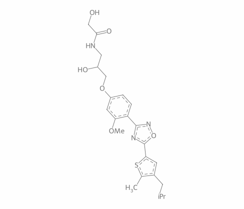 COc1cc(OCC(O)CNC(=O)CO)ccc1-c1noc(-c2cc(CC(C)C)c(C)s2)n1